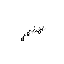 Cn1cc2c(-c3cc(F)c(CN4Cc5ncc(OCCc6ccccn6)cc5C4=O)c(F)c3)cccc2n1